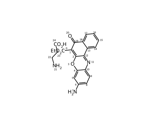 CCOC(=O)c1c2oc3cc(N)ccc3nc-2c2ccccc2c1=O.NCCC(=O)O